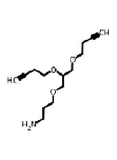 C#CCCOCC(COCCCN)OCCC#C